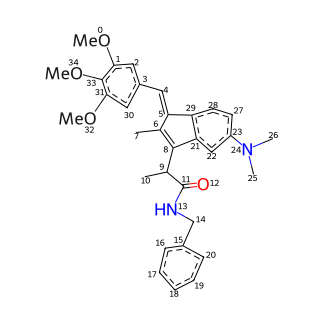 COc1cc(C=C2C(C)=C(C(C)C(=O)NCc3ccccc3)c3cc(N(C)C)ccc32)cc(OC)c1OC